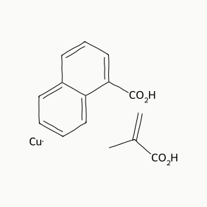 C=C(C)C(=O)O.O=C(O)c1cccc2ccccc12.[Cu]